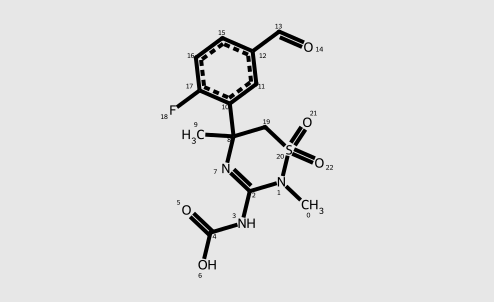 CN1C(NC(=O)O)=NC(C)(c2cc(C=O)ccc2F)CS1(=O)=O